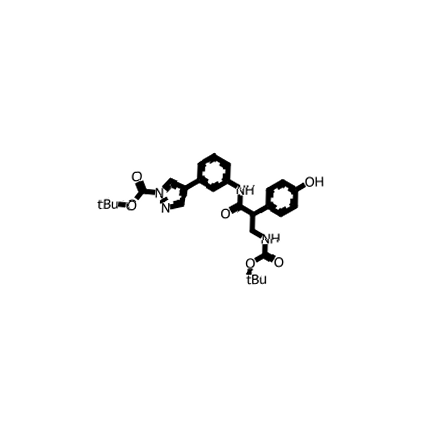 CC(C)(C)OC(=O)NCC(C(=O)Nc1cccc(-c2cnn(C(=O)OC(C)(C)C)c2)c1)c1ccc(O)cc1